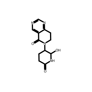 O=C1CCC(N2CCc3ncncc3C2=O)C(O)N1